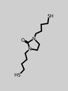 O=C1N(CCCCS)CCN1CCCCS